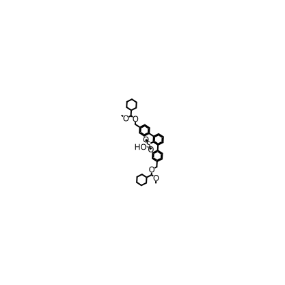 COC(OCc1ccc(-c2cccc(-c3ccc(COC(OC)C4CCCCC4)cc3)c2S(=O)(=O)O)cc1)C1CCCCC1